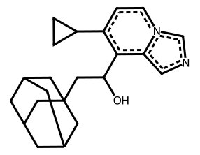 OC(CC12CC3CC(CC(C3)C1)C2)c1c(C2CC2)ccn2cncc12